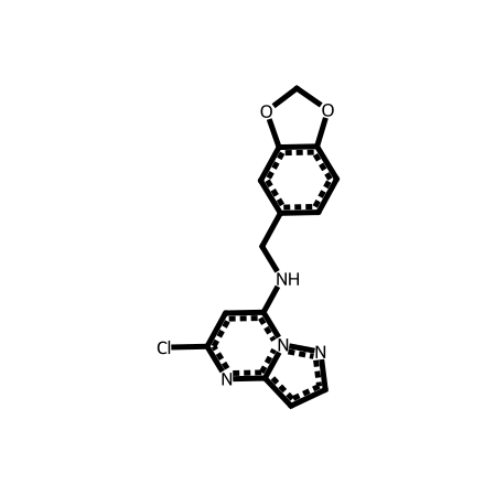 Clc1cc(NCc2ccc3c(c2)OCO3)n2nccc2n1